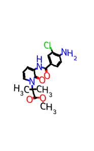 COC(=O)C(C)(C)n1cccc(NC(=O)c2ccc(N)c(Cl)c2)c1=O